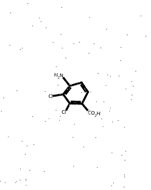 Nc1ccc(C(=O)O)c(Cl)c1Cl